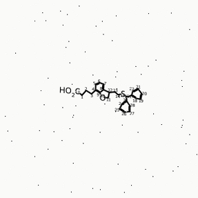 O=C(O)CCCc1cccc2c1OCC2CCSC(c1ccccc1)c1ccccc1